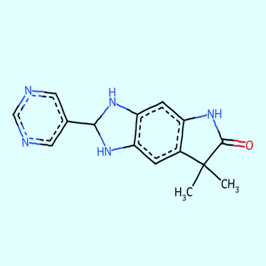 CC1(C)C(=O)Nc2cc3c(cc21)NC(c1cncnc1)N3